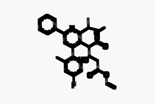 C=COC(=O)CC(O)C(c1c(-c2ccc(F)cc2C)cc(-c2ccccc2)nc1C(C)C)[PH](=O)OC